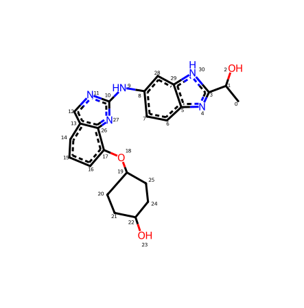 CC(O)c1nc2ccc(Nc3ncc4cccc(OC5CCC(O)CC5)c4n3)cc2[nH]1